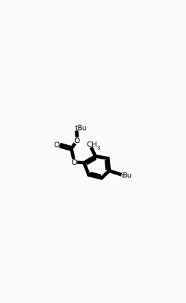 CCC(C)c1ccc(OC(=O)OC(C)(C)C)c(C)c1